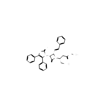 CC[C@H](CC(=O)OC)N1C(=O)[C@@H](n2c(-c3ccccc3)c(-c3ccccc3)oc2=O)[C@H]1C=Cc1ccccc1